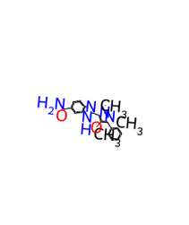 COc1c(-c2ccccc2C)nn(C)c1-c1nc2ccc(C(N)=O)cc2[nH]1